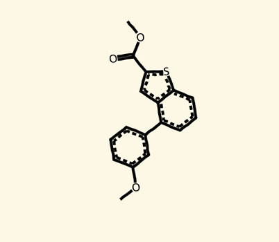 COC(=O)c1cc2c(-c3cccc(OC)c3)cccc2s1